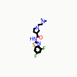 CN(C)CCN1CCC(C(=O)Nc2nc3c(F)cc(F)cc3s2)C1